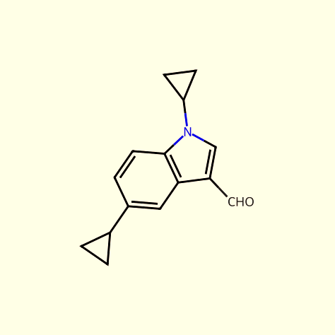 O=Cc1cn(C2CC2)c2ccc(C3CC3)cc12